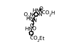 CCOC(=O)c1ccc(NC(=O)OCc2c[nH]c(-c3cc4nc(C(=O)O)c(=O)[nH]c4cc3[N+](=O)[O-])n2)cc1